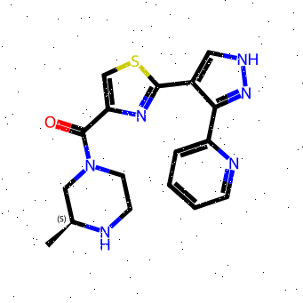 C[C@H]1CN(C(=O)c2csc(-c3c[nH]nc3-c3ccccn3)n2)CCN1